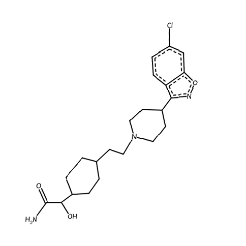 NC(=O)C(O)C1CCC(CCN2CCC(c3noc4cc(Cl)ccc34)CC2)CC1